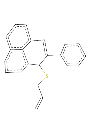 C=CCSC1C(c2ccccc2)=Cc2cccc3cccc1c23